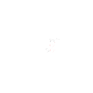 [O-2].[O-2].[Pt+4].[Si]